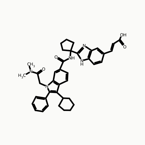 CN(C)C(=O)Cn1c(-c2ccccc2)c(C2CCCCC2)c2ccc(C(=O)NC3(c4nc5cc(/C=C/C(=O)O)ccc5[nH]4)CCCC3)cc21